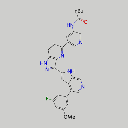 CCCCC(=O)Nc1cncc(-c2ccc3[nH]nc(-c4cc5c(-c6cc(F)cc(OC)c6)cncc5[nH]4)c3n2)c1